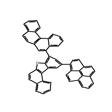 c1ccc2c(c1)ccc1cc(-c3cc(-c4ccc5ccc6cccc7ccc4c5c67)cc4c3oc3ccc5ccccc5c34)c3ccccc3c12